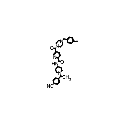 C=C(c1ccc(C#N)cc1)N1CCC(NC(=O)c2ccc(C(=O)N3CCN(Cc4ccc(F)cc4)CC3)cn2)CC1